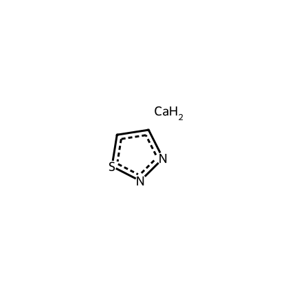 [CaH2].c1csnn1